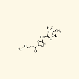 COCCC(=O)c1cnc(NC(=O)OC(C)(C)C)s1